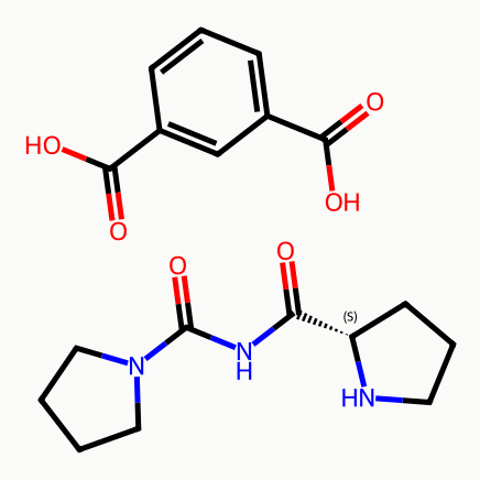 O=C(NC(=O)N1CCCC1)[C@@H]1CCCN1.O=C(O)c1cccc(C(=O)O)c1